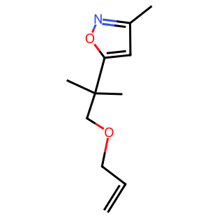 C=CCOCC(C)(C)c1cc(C)no1